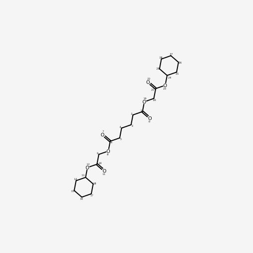 O=C(CCCCC(=O)OCC(=O)OC1CCCCC1)OCC(=O)OC1CCCCC1